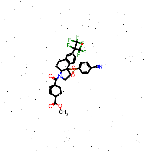 COC(=O)C12CCC(C(=O)N3CCC4(S(=O)(=O)c5ccc(C#N)cc5)c5ccc(C(F)(C(F)(F)F)C(F)(F)F)cc5CCC34)(CC1)CC2